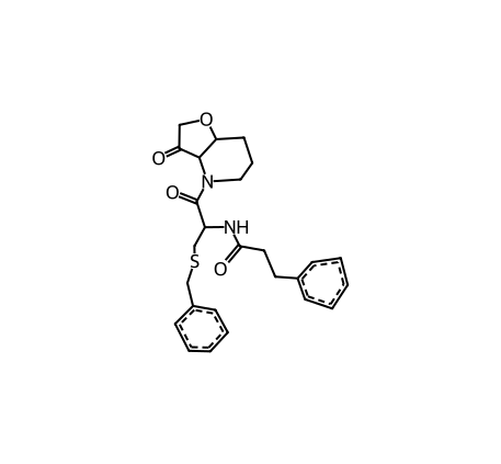 O=C(CCc1ccccc1)NC(CSCc1ccccc1)C(=O)N1CCCC2OCC(=O)C21